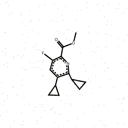 COC(=O)c1nc(C2CC2)c(C2CC2)cc1F